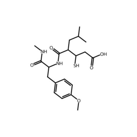 CNC(=O)C(Cc1ccc(OC)cc1)NC(=O)C(CC(C)C)C(S)CC(=O)O